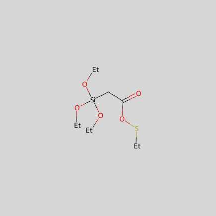 CCO[Si](CC(=O)OSCC)(OCC)OCC